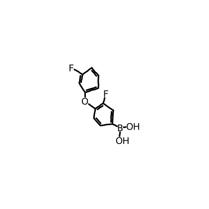 OB(O)c1ccc(Oc2cccc(F)c2)c(F)c1